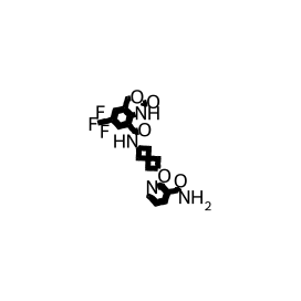 NC(=O)c1cccnc1OC1CC2(CC(NC(=O)c3cc(C(F)(F)F)cc4c3NC(=O)OC4)C2)C1